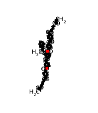 C=CC(=O)OCCCCOC(=O)C1CCC(C(=O)OC2CCC(C(=O)Oc3ccc(OC(=O)C4CCC(OC(=O)C5CCC(C(=O)OCCCCOC(=O)C=C)CC5)CC4)c(/C=N/N(C)c4nc5ccccc5s4)c3)CC2)CC1